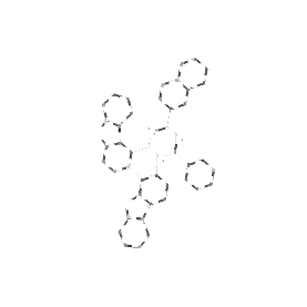 c1ccc(C2=NC(c3ccc4ccccc4c3)=NC(c3c(-c4cccc5c4sc4ccccc45)ccc4oc5ccccc5c34)N2)cc1